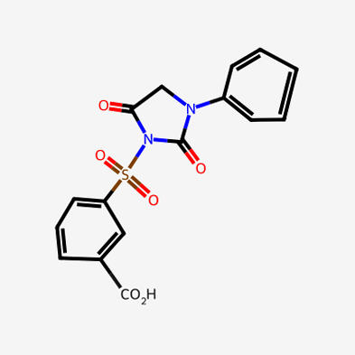 O=C(O)c1cccc(S(=O)(=O)N2C(=O)CN(c3ccccc3)C2=O)c1